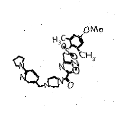 COc1cc(C)c(S(=O)(=O)Cc2noc(C(=O)N3CCN(Cc4ccc(N5CCCC5)nc4)CC3)n2)c(C)c1